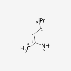 CC(C)CCC(C)[NH]